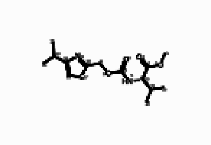 COC(=O)[C@@H](NC(=O)OCc1nc(C(C)C)cs1)C(C)C